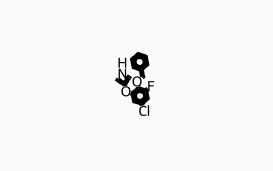 Fc1cc(Cl)cc(OC2CNC2)c1OCc1ccccc1